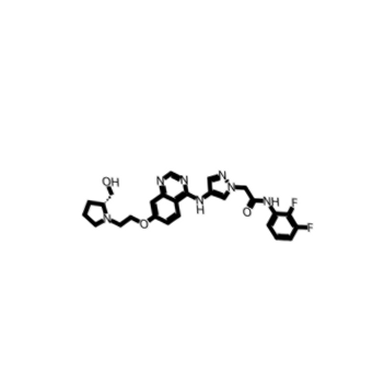 O=C(Cn1cc(Nc2ncnc3cc(OCCN4CCC[C@@H]4CO)ccc23)cn1)Nc1cccc(F)c1F